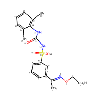 CC(=NOCC(=O)O)c1cccc(S(=O)(=O)NC(=O)Nc2c(C(C)C)cccc2C(C)C)c1